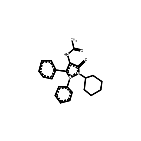 CC(=O)Nc1c(-c2ccccc2)n(-c2ccccc2)n(C2CCCCC2)c1=O